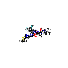 CCCN(CCC)C(=O)c1cc(C)cc(C(=O)OC(CNCc2cccc(-c3ccc(C)s3)c2)C(N)Cc2cc(F)cc(F)c2)c1